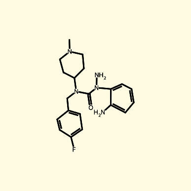 CN1CCC(N(Cc2ccc(F)cc2)C(=O)N(N)c2ccccc2N)CC1